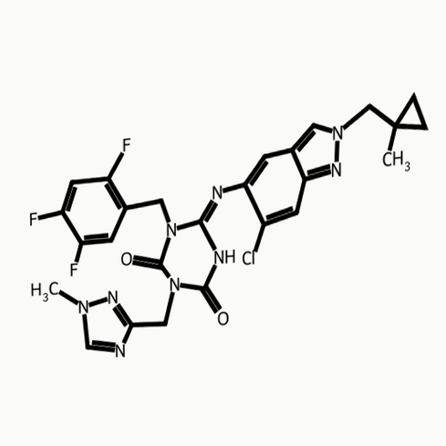 Cn1cnc(Cn2c(=O)[nH]/c(=N\c3cc4cn(CC5(C)CC5)nc4cc3Cl)n(Cc3cc(F)c(F)cc3F)c2=O)n1